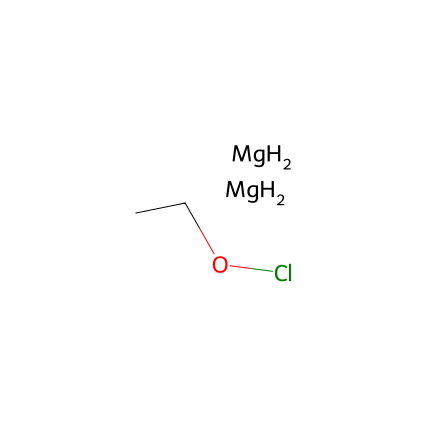 CCOCl.[MgH2].[MgH2]